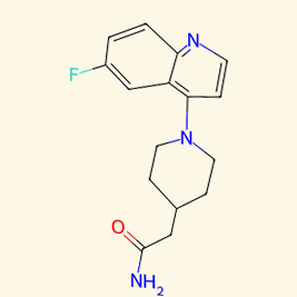 NC(=O)CC1CCN(c2ccnc3ccc(F)cc23)CC1